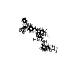 CC(C)CC(NC(=O)Cc1ccc(NC(=C[N+](=O)[O-])Nc2ccccc2)cc1)C(=O)NC(CCNCC(NC(=O)CC(C)(C)C)C(=O)O)C(=O)O